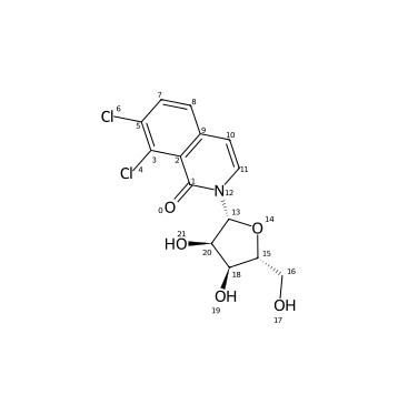 O=c1c2c(Cl)c(Cl)ccc2ccn1[C@@H]1O[C@H](CO)[C@@H](O)[C@H]1O